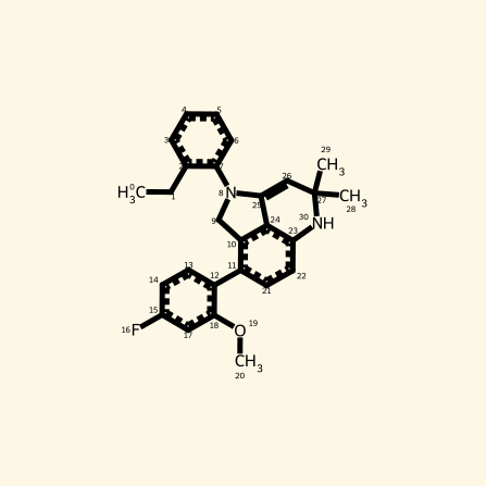 CCc1ccccc1N1Cc2c(-c3ccc(F)cc3OC)ccc3c2C1=CC(C)(C)N3